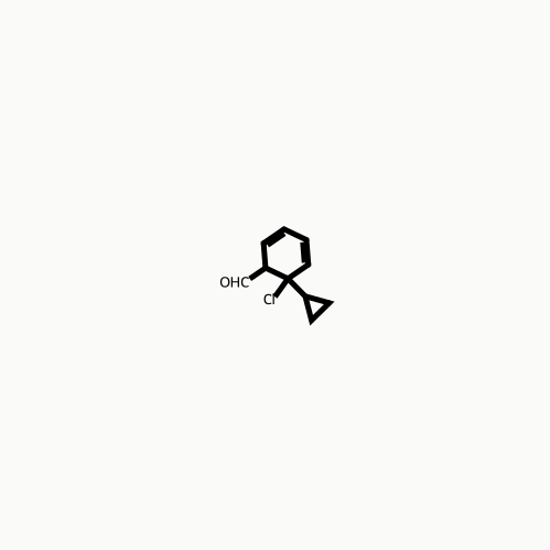 O=CC1C=CC=CC1(Cl)C1CC1